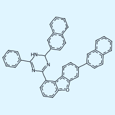 c1ccc(C2=NC(c3cccc4oc5cc(-c6ccc7ccccc7c6)ccc5c34)=NC(c3ccc4ccccc4c3)N2)cc1